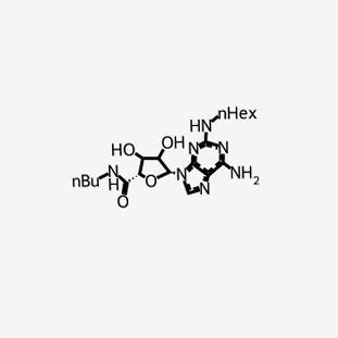 CCCCCCNc1nc(N)c2ncn([C@@H]3O[C@H](C(=O)NCCCC)C(O)C3O)c2n1